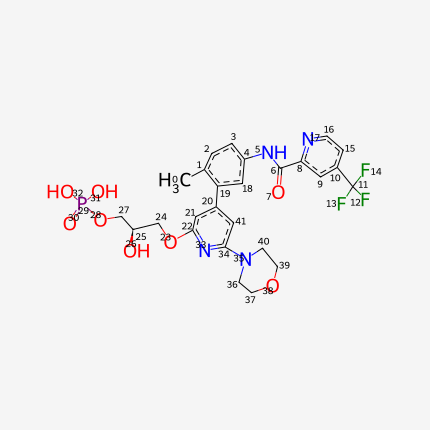 Cc1ccc(NC(=O)c2cc(C(F)(F)F)ccn2)cc1-c1cc(OC[C@@H](O)COP(=O)(O)O)nc(N2CCOCC2)c1